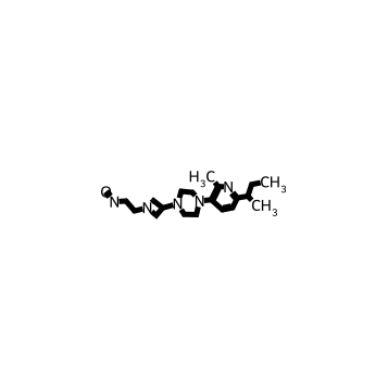 CCC(C)c1ccc(N2CCN(C3CN(CCN=O)C3)CC2)c(C)n1